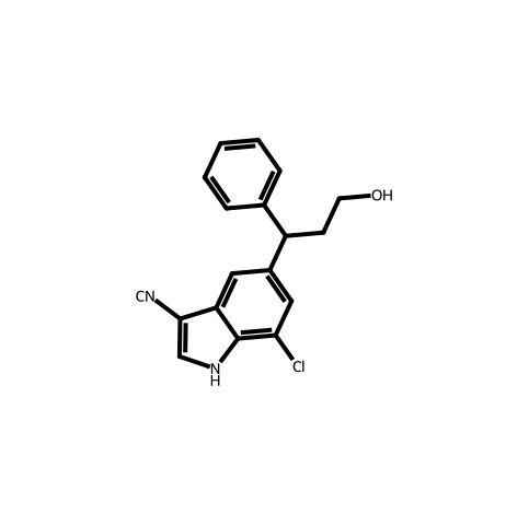 [C-]#[N+]c1c[nH]c2c(Cl)cc(C(CCO)c3ccccc3)cc12